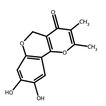 Cc1oc2c(c(=O)c1C)COc1cc(O)c(O)cc1-2